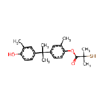 Cc1cc(C(C)(C)c2ccc(OC(=O)C(C)(C)S)c(C)c2)ccc1O